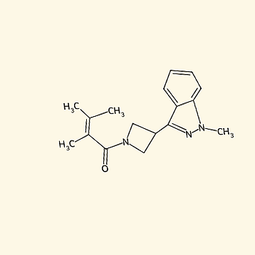 CC(C)=C(C)C(=O)N1CC(c2nn(C)c3ccccc23)C1